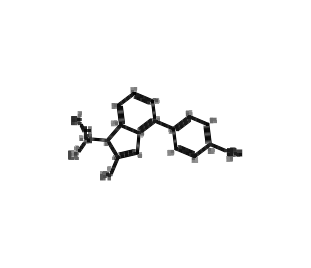 CC[SiH](CC)C1C(C(C)C)=Cc2c(-c3ccc(C(C)(C)C)cc3)cccc21